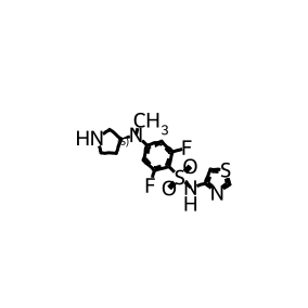 CN(c1cc(F)c(S(=O)(=O)Nc2cscn2)c(F)c1)[C@H]1CCNC1